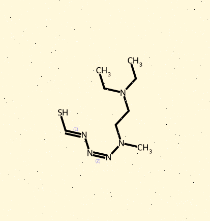 CCN(CC)CCN(C)/N=N\N=C\S